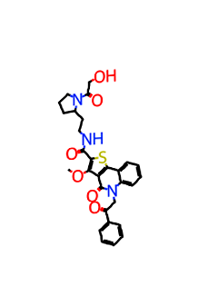 COc1c(C(=O)NCCC2CCCN2C(=O)CO)sc2c1c(=O)n(CC(=O)c1ccccc1)c1ccccc21